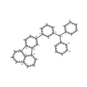 c1ccc(N(c2cccnc2)c2cccc(-c3ccc4c(c3)-c3cccc5cccc-4c35)c2)cc1